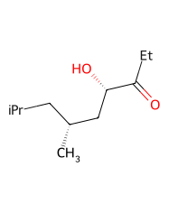 CCC(=O)[C@@H](O)C[C@H](C)CC(C)C